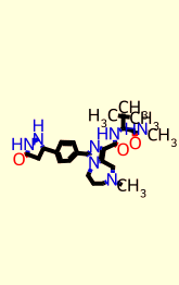 CNC(=O)C(NC(=O)c1nc(-c2ccc(C3CC(=O)NN3)cc2)n2c1CN(C)CCC2)C(C)(C)C